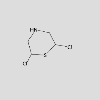 ClC1CNCC(Cl)S1